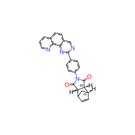 O=C1[C@@H]2[C@@H]3C=CC(C3)[C@@H]2C(=O)N1c1ccc(-c2ncc3ccc4cccnc4c3n2)cc1